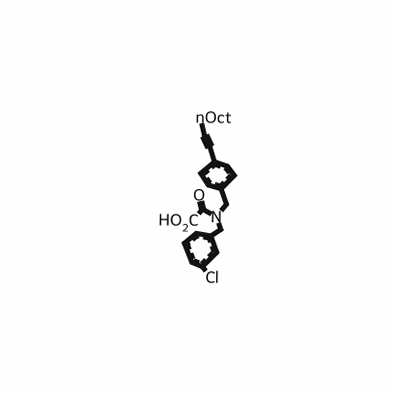 CCCCCCCCC#Cc1ccc(CN(Cc2cccc(Cl)c2)C(=O)C(=O)O)cc1